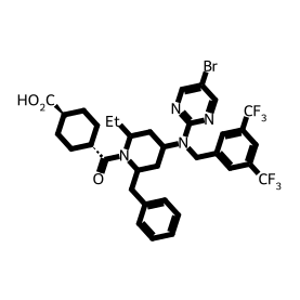 CCC1CC(N(Cc2cc(C(F)(F)F)cc(C(F)(F)F)c2)c2ncc(Br)cn2)CC(Cc2ccccc2)N1C(=O)[C@H]1CC[C@H](C(=O)O)CC1